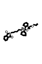 C=CCOCC(C)(C)O[Si](OCCCCCCN1C(=O)c2ccccc2C1=O)(c1ccccc1)c1ccccc1